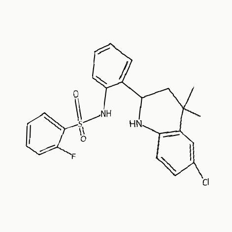 CC1(C)CC(c2ccccc2NS(=O)(=O)c2ccccc2F)Nc2ccc(Cl)cc21